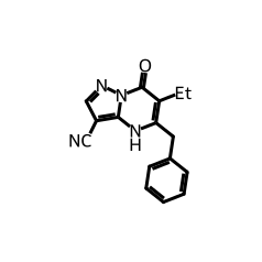 CCc1c(Cc2ccccc2)[nH]c2c(C#N)cnn2c1=O